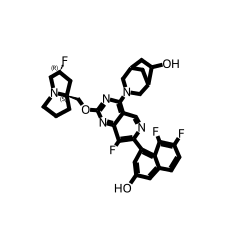 Oc1cc(-c2ncc3c(N4CC5CC(O)C(C5)C4)nc(OC[C@@]45CCCN4C[C@H](F)C5)nc3c2F)c2c(F)c(F)ccc2c1